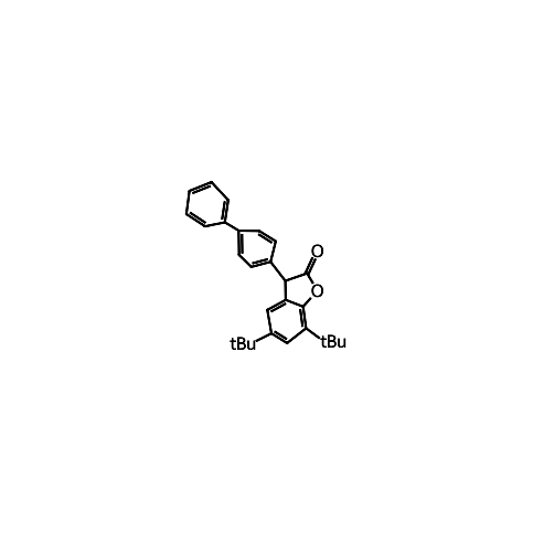 CC(C)(C)c1cc2c(c(C(C)(C)C)c1)OC(=O)C2c1ccc(-c2ccccc2)cc1